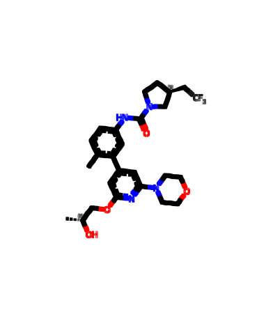 Cc1ccc(NC(=O)N2CC[C@@H](CC(F)(F)F)C2)cc1-c1cc(OC[C@@H](C)O)nc(N2CCOCC2)c1